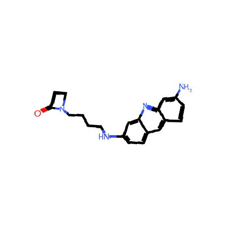 Nc1ccc2cc3ccc(NCCCCN4CCC4=O)cc3nc2c1